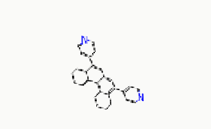 C1=Cc2c(c(-c3ccncc3)cc3cc(-c4ccncc4)c4ccccc4c23)CC1